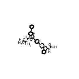 CC(C)(C)OC(=O)Nc1ccc(-c2ccccc2)cc1NC(=O)c1ccc(N2CCC3(CC2)CC(NC(=O)O)c2ccccc23)nc1